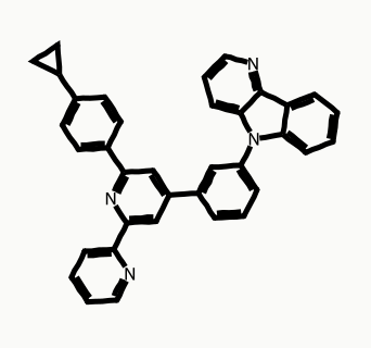 c1ccc(-c2cc(-c3cccc(-n4c5ccccc5c5ncccc54)c3)cc(-c3ccc(C4CC4)cc3)n2)nc1